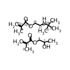 C=C(C)C(=O)OCC(C)O.C=C(C)C(=O)OCCNC(C)(C)C